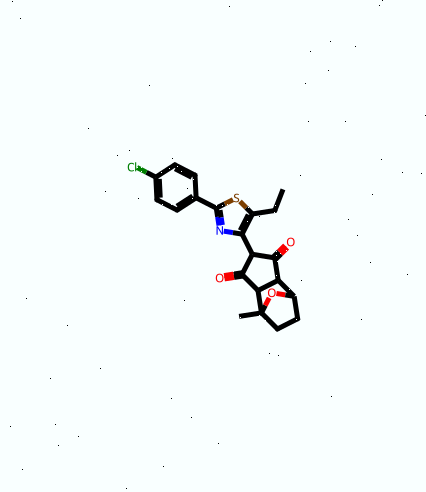 CCc1sc(-c2ccc(Cl)cc2)nc1C1C(=O)C2C3CCC(C)(O3)C2C1=O